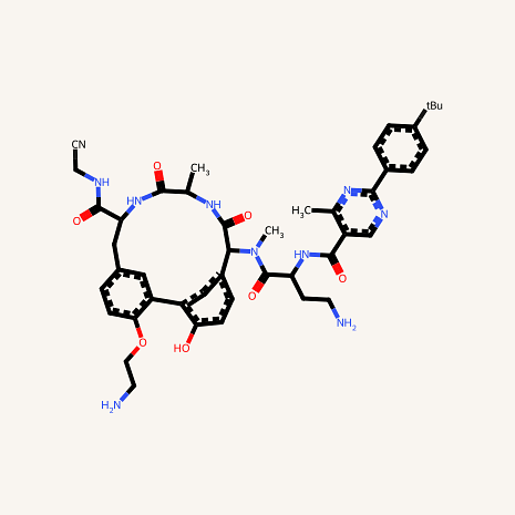 Cc1nc(-c2ccc(C(C)(C)C)cc2)ncc1C(=O)NC(CCN)C(=O)N(C)C1C(=O)NC(C)C(=O)NC(C(=O)NCC#N)Cc2ccc(OCCN)c(c2)-c2cc1ccc2O